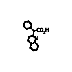 O=C(O)C(c1ccccc1)c1ccc2ccccc2n1